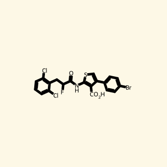 O=C(O)c1c(-c2ccc(Br)cc2)csc1NC(=O)C(F)Cc1c(Cl)cccc1Cl